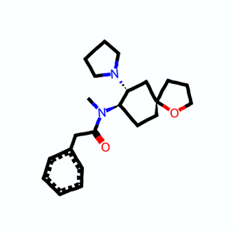 CN(C(=O)Cc1ccccc1)[C@@H]1CC[C@]2(CCCO2)C[C@H]1N1CCCC1